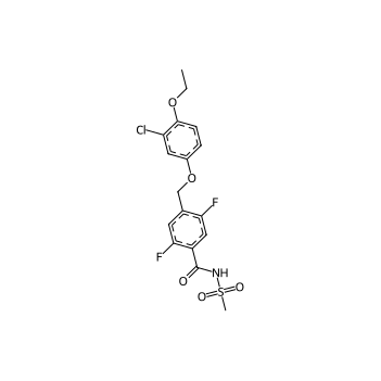 CCOc1ccc(OCc2cc(F)c(C(=O)NS(C)(=O)=O)cc2F)cc1Cl